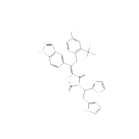 O=C1S/C(=C(/Cc2ccc(Cl)cc2C(F)(F)F)c2ccc3[nH]ncc3c2)C(=O)N1C(Cc1ncc[nH]1)c1ncc[nH]1